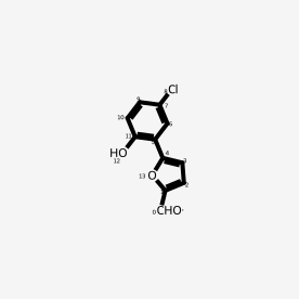 O=[C]c1ccc(-c2cc(Cl)ccc2O)o1